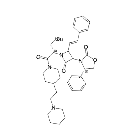 CC(C)(C)C[C@@H](C(=O)N1CCC(CCN2CCCCC2)CC1)N1C(=O)C(N2C(=O)OC[C@@H]2c2ccccc2)C1C=Cc1ccccc1